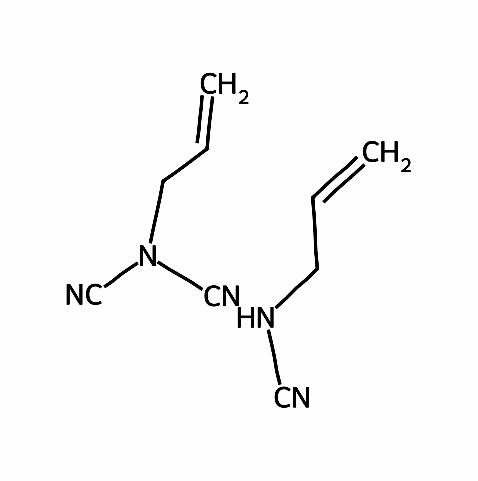 C=CCN(C#N)C#N.C=CCNC#N